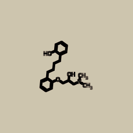 CN(C)CC(O)COc1ccccc1CCCCc1ccccc1O